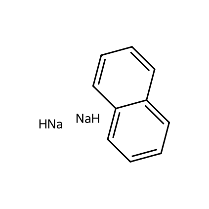 [NaH].[NaH].c1ccc2ccccc2c1